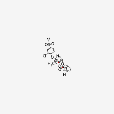 Cc1c(Oc2ccc(S(=O)(=O)C3CC3)cc2Cl)ncnc1O[C@H]1CC2CC[C@@H](C1)N2C(=O)OC1CCC1